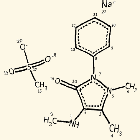 CNc1c(C)n(C)n(-c2ccccc2)c1=O.CS(=O)(=O)[O-].[Na+]